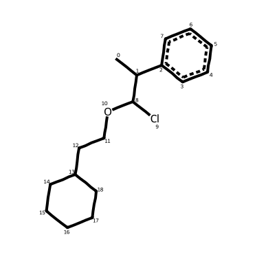 CC(c1ccccc1)C(Cl)OCCC1CCCCC1